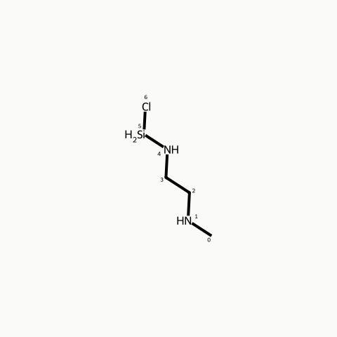 CNCCN[SiH2]Cl